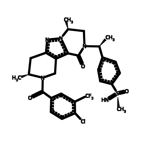 C[C@@H]1Cc2nn3c(c2CN1C(=O)c1ccc(Cl)c(C(F)(F)F)c1)C(=O)N([C@H](C)c1ccc([S@](C)(=N)=O)cc1)C[C@H]3C